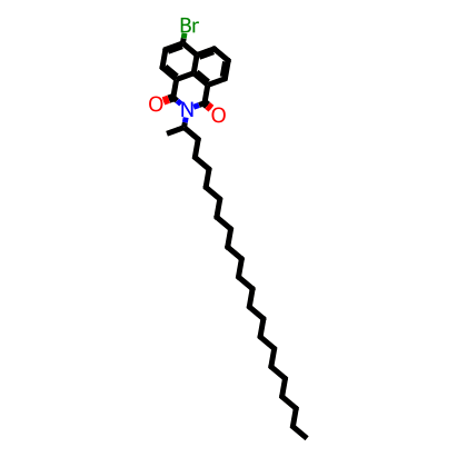 CCCCCCCCCCCCCCCCCCCCCC(C)N1C(=O)c2cccc3c(Br)ccc(c23)C1=O